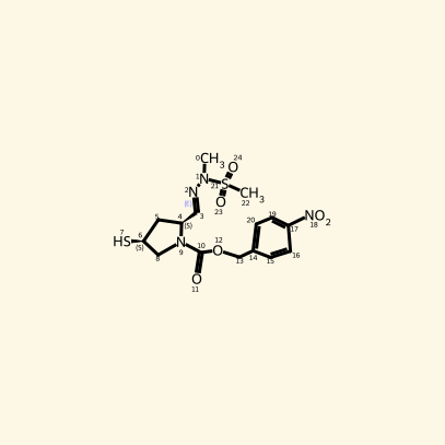 CN(/N=C/[C@@H]1C[C@H](S)CN1C(=O)OCc1ccc([N+](=O)[O-])cc1)S(C)(=O)=O